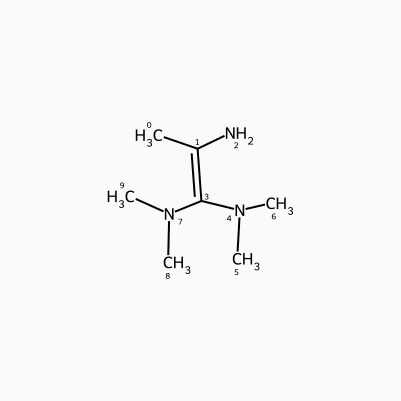 CC(N)=C(N(C)C)N(C)C